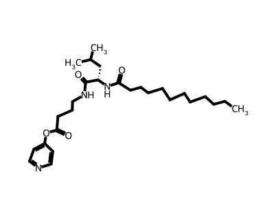 CCCCCCCCCCCC(=O)N[C@@H](CC(C)C)C(=O)NCCCC(=O)Oc1ccncc1